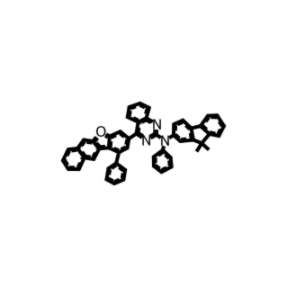 CC1(C)c2ccccc2-c2ccc(N(c3ccccc3)c3nc(-c4cc(-c5ccccc5)c5c(c4)oc4cc6ccccc6cc45)c4ccccc4n3)cc21